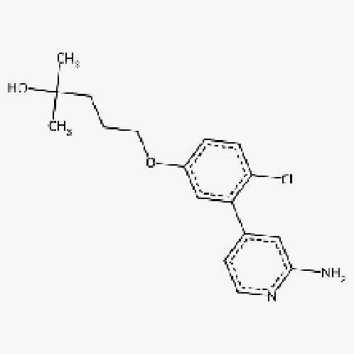 CC(C)(O)CCCOc1ccc(Cl)c(-c2ccnc(N)c2)c1